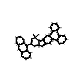 CC1(C)C=C(c2c3ccccc3cc3ccccc23)C=C2C=c3cc4c5ccccc5c5ccccc5c4cc3=C21